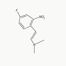 CN(C)C=Cc1ccc(F)cc1[N+](=O)[O-]